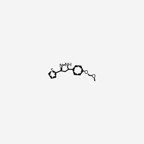 COCOc1ccc(C2CC(c3cccs3)=NN2)cc1